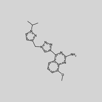 COc1cccc2c(-c3cn(Cc4ccn(C(C)C)n4)nn3)nc(N)nc12